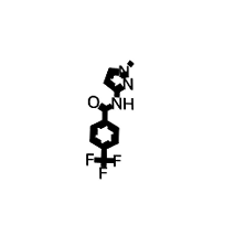 Cn1ccc(NC(=O)c2ccc(C(F)(F)F)cc2)n1